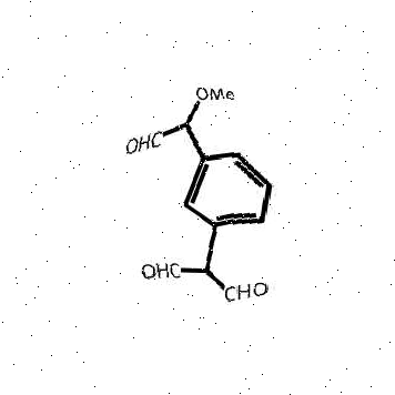 COC(C=O)c1cccc(C(C=O)C=O)c1